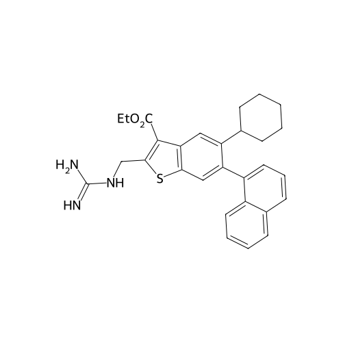 CCOC(=O)c1c(CNC(=N)N)sc2cc(-c3cccc4ccccc34)c(C3CCCCC3)cc12